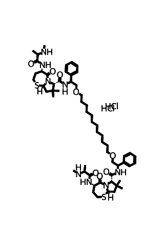 CNC(C)C(=O)N[C@H]1CCS[C@H]2CC(C)(C)[C@@H](C(=O)NC(COCCCCCCCCCCCCOCC(NC(=O)[C@H]3N4C(=O)[C@@H](NC(=O)C(C)NC)CCS[C@H]4CC3(C)C)c3ccccc3)c3ccccc3)N2C1=O.Cl.Cl